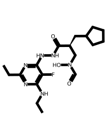 CCNc1nc(CC)nc(NNC(=O)[C@@H](CC2CCCC2)CN(O)C=O)c1F